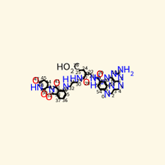 CN(Cc1cnc2nc(N)nc(N)c2n1)c1ccc(C(=O)NC[C@H](CCC(=O)O)C(=O)NCCCNc2cccc3c2C(=O)N(C2CCC(=O)NC2=O)C3=O)cc1